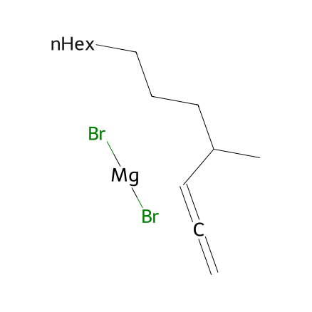 [Br][Mg][Br].[CH2]CCCCCCCCC(C)C=C=C